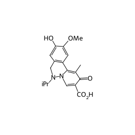 COc1cc2c(cc1O)CN(C(C)C)n1cc(C(=O)O)c(=O)c(C)c1-2